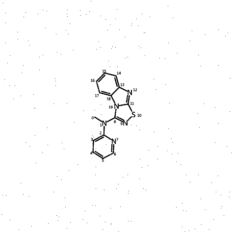 CN(c1ccccn1)c1nsc2nc3ccccc3n12